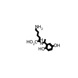 CC(NC(CCCCN)C(=O)O)c1cc(O)ccc1O